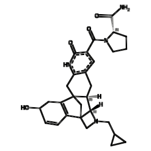 NC(=O)[C@@H]1CCCN1C(=O)c1cc2c([nH]c1=O)CC13CC4(CN(CC5CC5)[C@H]4[C@@H]1C2)C1=C3CC(O)C=C1